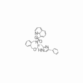 O=S(=O)(c1cccc2cccnc12)N1Cc2ccccc2COC[C@H]1Cc1nc(-c2ccccc2)c[nH]1